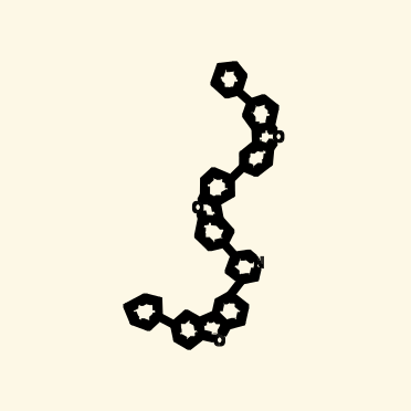 c1ccc(-c2ccc3oc4ccc(-c5cncc(-c6ccc7oc8ccc(-c9ccc%10oc%11ccc(-c%12ccccc%12)cc%11c%10c9)cc8c7c6)c5)cc4c3c2)cc1